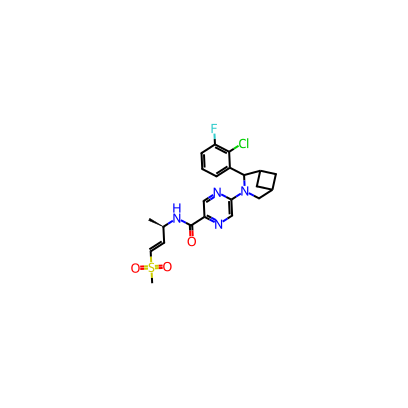 C[C@H](/C=C/S(C)(=O)=O)NC(=O)c1cnc(N2CC3CC(C3)C2c2cccc(F)c2Cl)cn1